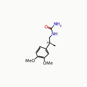 COc1ccc([C@H](C)CNC(N)=O)cc1OC